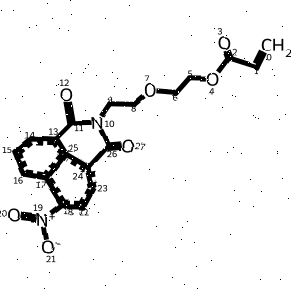 C=CC(=O)OCCOCCN1C(=O)c2cccc3c([N+](=O)[O-])ccc(c23)C1=O